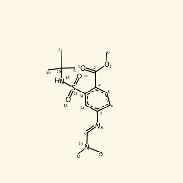 COC(=O)c1ccc(N=CN(C)C)cc1S(=O)(=O)NC(C)(C)C